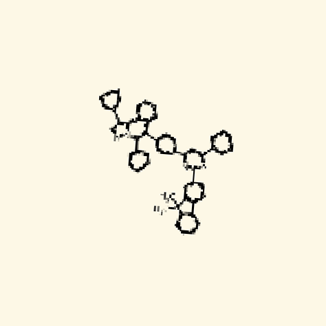 CC1(C)c2ccccc2-c2ccc(-c3nc(-c4ccccc4)cc(-c4ccc(-c5c(-c6ccccc6)n6ncc(-c7ccccc7)c6c6ccccc56)cc4)n3)cc21